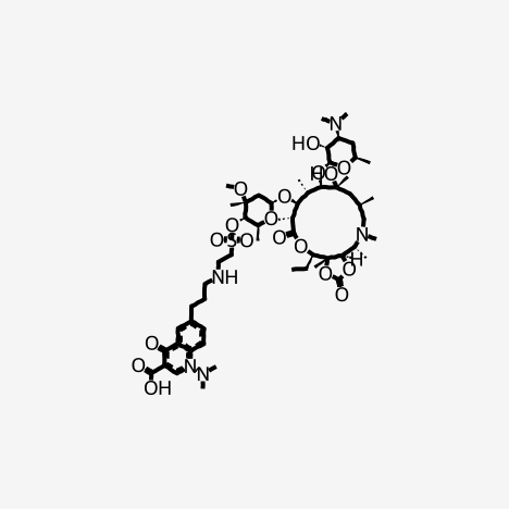 CC[C@H]1OC(=O)[C@H](C)[C@@H](O[C@H]2C[C@@](C)(OC)[C@@H](OS(=O)(=O)CCNCCCc3ccc4c(c3)c(=O)c(C(=O)O)cn4N(C)C)[C@H](C)O2)[C@H](C)[C@@H](O[C@@H]2O[C@H](C)C[C@H](N(C)C)[C@H]2O)[C@](C)(O)C[C@@H](C)CN(C)[C@H](C)[C@H]2OC(=O)O[C@@]21C